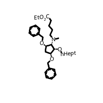 CCCCCCCO[C@@H]1[C@@H](N(C)CCCCC(=O)OCC)[C@H](OCc2ccccc2)C[C@@H]1OCc1ccccc1